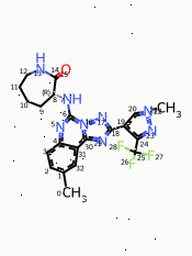 Cc1ccc2nc(N[C@@H]3CCCCNC3=O)n3nc(-c4cn(C)nc4C(F)(F)F)nc3c2c1